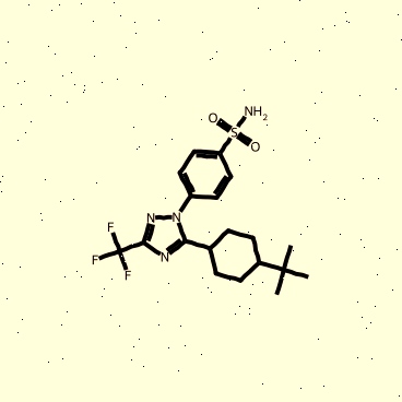 CC(C)(C)C1CCC(c2nc(C(F)(F)F)nn2-c2ccc(S(N)(=O)=O)cc2)CC1